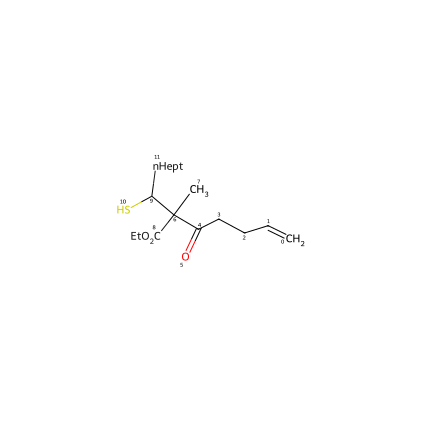 C=CCCC(=O)C(C)(C(=O)OCC)C(S)CCCCCCC